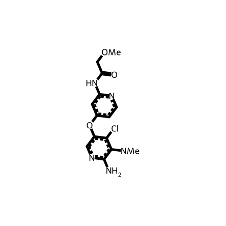 CNc1c(N)ncc(Oc2ccnc(NC(=O)COC)c2)c1Cl